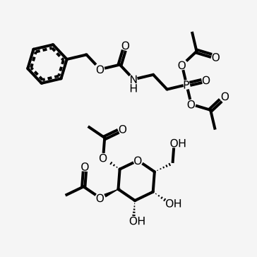 CC(=O)OP(=O)(CCNC(=O)OCc1ccccc1)OC(C)=O.CC(=O)O[C@@H]1O[C@H](CO)[C@H](O)[C@H](O)[C@H]1OC(C)=O